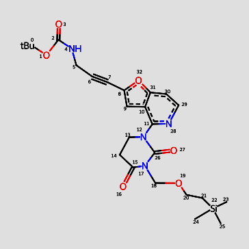 CC(C)(C)OC(=O)NCC#Cc1cc2c(N3CCC(=O)N(COCC[Si](C)(C)C)C3=O)nccc2o1